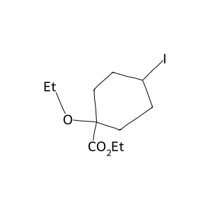 CCOC(=O)C1(OCC)CCC(I)CC1